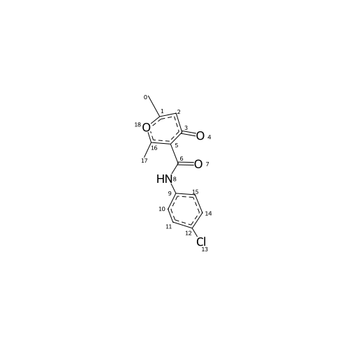 Cc1cc(=O)c(C(=O)Nc2ccc(Cl)cc2)c(C)o1